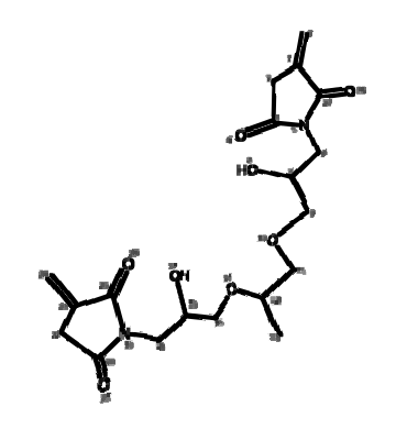 C=C1CC(=O)N(CC(O)COCC(C)OCC(O)CN2C(=O)CC(=C)C2=O)C1=O